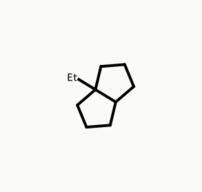 [CH2]CC12CCCC1CCC2